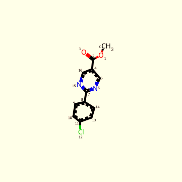 COC(=O)c1cnc(-c2ccc(Cl)cc2)nc1